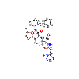 CC1COC(C2=CS[C@@H]3C(NC(=O)Cc4nnn[nH]4)C(=O)N3C2C(=O)OC(c2ccccc2)c2ccccc2)O1